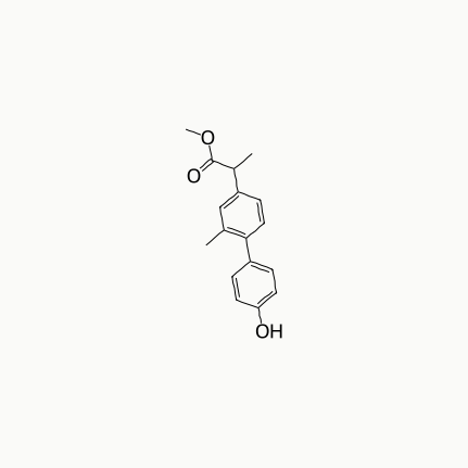 COC(=O)C(C)c1ccc(-c2ccc(O)cc2)c(C)c1